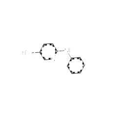 CC(C)(C)c1ccc(Nc2ccccc2)nc1